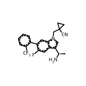 C[C@@H](N)c1cn(CC2(C#N)CC2)c2cc(-c3ccccc3C(F)(F)F)c(F)cc12